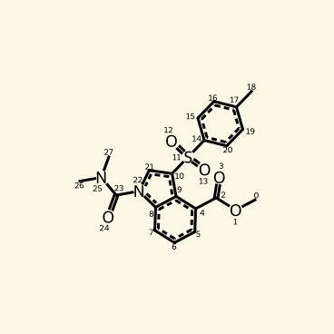 COC(=O)c1cccc2c1c(S(=O)(=O)c1ccc(C)cc1)cn2C(=O)N(C)C